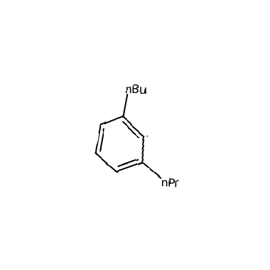 CCCCc1[c]c(CCC)ccc1